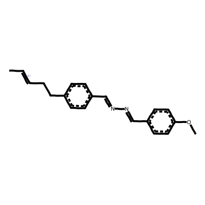 C/C=C/CCc1ccc(C=NN=Cc2ccc(OC)cc2)cc1